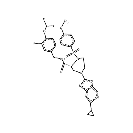 O=C(NCc1ccc(OC(F)F)c(F)c1)[C@H]1CN(c2nc3nc(C4CC4)ncc3s2)CCN1S(=O)(=O)c1ccc(OC(F)(F)F)cc1